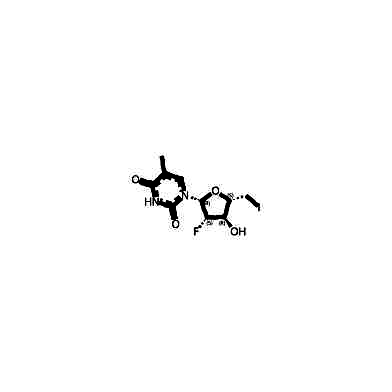 Cc1cn([C@@H]2O[C@H](CI)[C@@H](O)[C@@H]2F)c(=O)[nH]c1=O